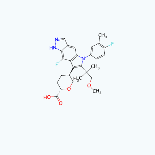 COCC(C)(C)c1c([C@@H]2CC[C@@H](C(=O)O)OC2)c2c(F)c3[nH]ncc3cc2n1-c1ccc(F)c(C)c1